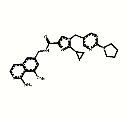 COc1cc(CNC(=O)c2cn(Cc3cnc(N4CCCC4)nc3)c(C3CC3)n2)cc2ccnc(N)c12